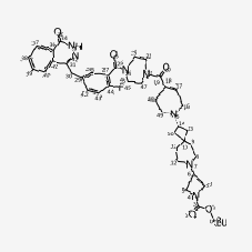 CC(C)(C)OC(=O)N1CC(N2CCC3(CC2)CC(N2CCC(C(=O)N4CCN(C(=O)c5cc(Cc6n[nH]c(=O)c7ccccc67)ccc5F)CC4)CC2)C3)C1